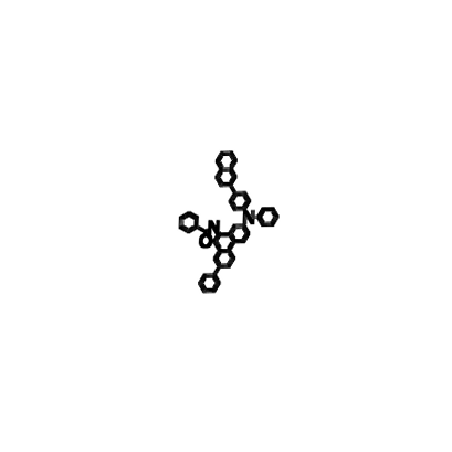 c1ccc(-c2ccc3c4ccc(N(c5ccccc5)c5ccc(-c6ccc7ccccc7c6)cc5)cc4c4nc(-c5ccccc5)oc4c3c2)cc1